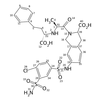 C[C@H](N[C@@H](CCc1ccccc1)C(=O)O)C(=O)N1Cc2cc(NS(=O)(=O)c3ccc(Cl)c(S(N)(=O)=O)c3)ccc2CC1C(=O)O